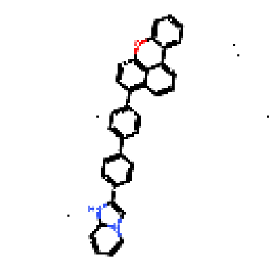 C1=CC2NC(c3ccc(-c4ccc(-c5ccc6c7c(cccc57)-c5ccccc5O6)cc4)cc3)=CN2C=C1